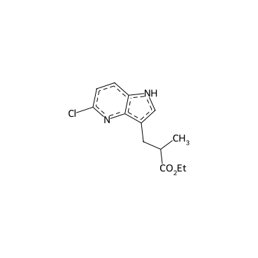 CCOC(=O)C(C)Cc1c[nH]c2ccc(Cl)nc12